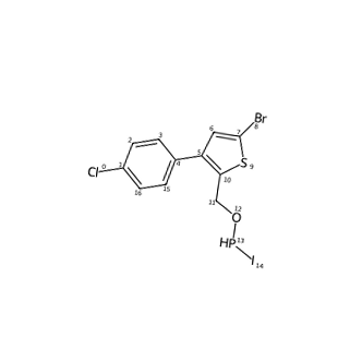 Clc1ccc(-c2cc(Br)sc2COPI)cc1